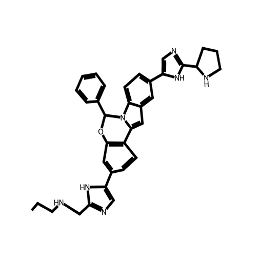 CCCNCc1ncc(-c2ccc3c(c2)OC(c2ccccc2)n2c-3cc3cc(-c4cnc(C5CCCN5)[nH]4)ccc32)[nH]1